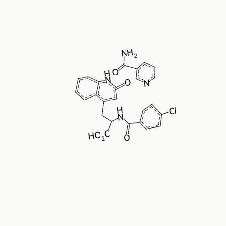 NC(=O)c1cccnc1.O=C(NC(Cc1cc(=O)[nH]c2ccccc12)C(=O)O)c1ccc(Cl)cc1